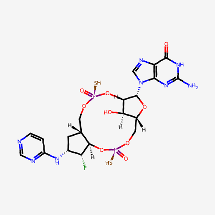 Nc1nc2c(ncn2[C@@H]2O[C@@H]3CO[P@@](=O)(S)O[C@@H]4[C@@H](CO[P@@](=O)(S)O[C@@H]2[C@@H]3O)C[C@@H](Nc2ccncn2)[C@H]4F)c(=O)[nH]1